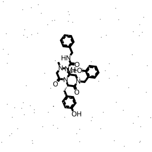 COc1ccccc1CN1C[C@H]2N(C(=O)CN(C)N2C(=O)NCc2ccccc2)[C@@H](Cc2ccc(O)cc2)C1=O